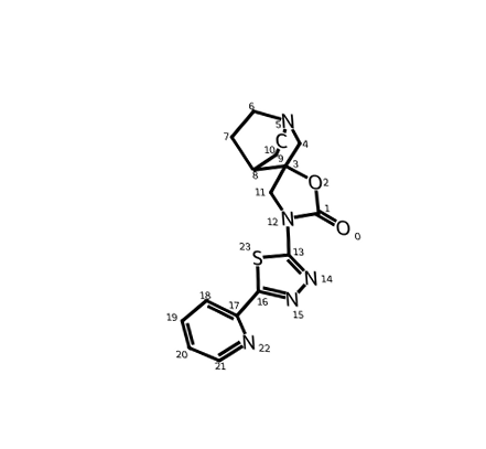 O=C1OC2(CN3CCC2CC3)CN1c1nnc(-c2ccccn2)s1